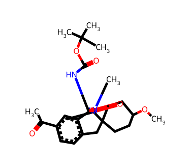 COC1CCC2(CC1)Cc1ccc(C(C)=O)cc1C21N=C(NC(=O)OC(C)(C)C)N(C)C1=O